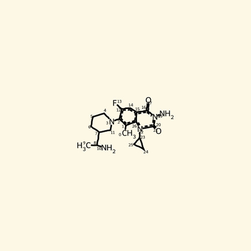 Cc1c(N2CCCC(C(C)N)C2)c(F)cc2c(=O)n(N)c(=O)n(C3CC3)c12